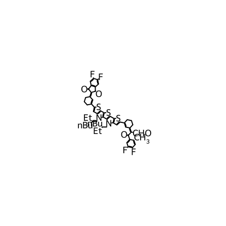 CCCCC(CC)Cn1c2cc(C3=CC(=C4C(=O)c5cc(F)c(F)cc5C4=O)CCC3)sc2c2sc3c4sc(C5=C/C(=C(/C=O)C(=O)c6cc(F)c(F)cc6C)CCC5)cc4n(CC(CC)CCCC)c3c21